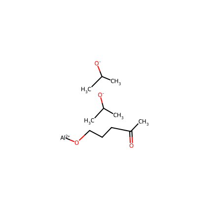 CC(=O)CCC[O][Al+2].CC(C)[O-].CC(C)[O-]